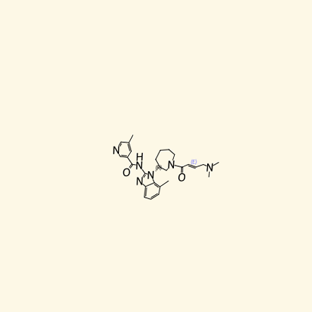 Cc1cncc(C(=O)Nc2nc3cccc(C)c3n2[C@@H]2CCCCN(C(=O)/C=C/CN(C)C)C2)c1